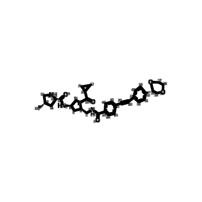 O=C(NC[C@H]1C[C@@H](NC(=O)[C@@H]2C[C@H](F)CN2)CN1C(=O)C1CC1)c1ccc(C#Cc2ccc([C@H]3COCCO3)cc2)cc1